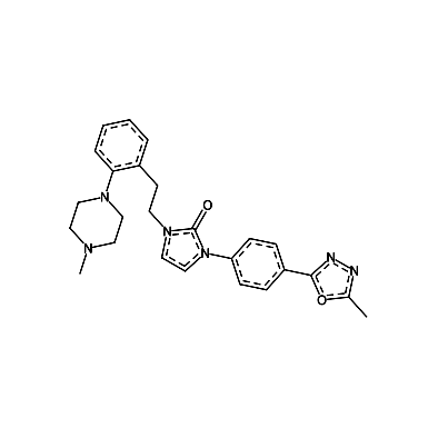 Cc1nnc(-c2ccc(-n3ccn(CCc4ccccc4N4CCN(C)CC4)c3=O)cc2)o1